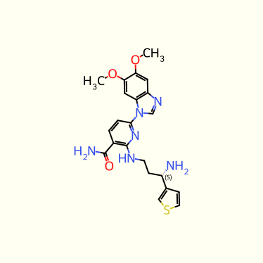 COc1cc2ncn(-c3ccc(C(N)=O)c(NCC[C@H](N)c4ccsc4)n3)c2cc1OC